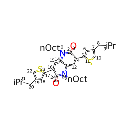 CCCCCCCCn1c(=O)c(-c2cc(CC(C)C)cs2)cc2c1cc(-c1cc(CC(C)C)cs1)c(=O)n2CCCCCCCC